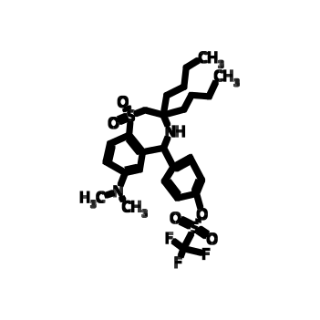 CCCCC1(CCCC)CS(=O)(=O)c2ccc(N(C)C)cc2C(c2ccc(OS(=O)(=O)C(F)(F)F)cc2)N1